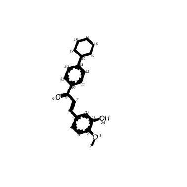 COc1ccc(C=CC(=O)c2ccc(C3CCCCC3)cc2)cc1O